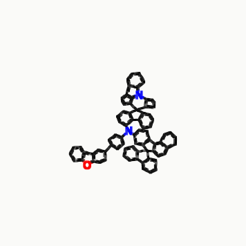 c1ccc2c(c1)-c1ccccc1C21c2cc(N(c3ccc(-c4ccc5oc6ccccc6c5c4)cc3)c3cccc4c3-c3ccccc3C43c4ccccc4-n4c5ccccc5c5cccc3c54)ccc2-c2c1ccc1ccccc21